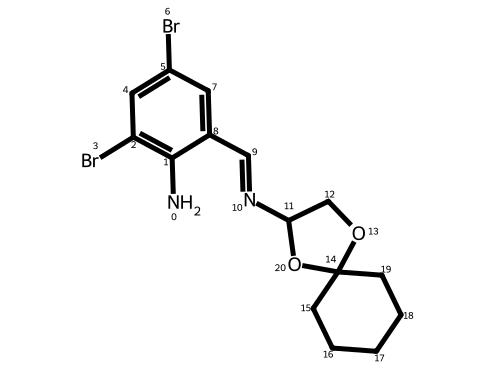 Nc1c(Br)cc(Br)cc1C=NC1COC2(CCCCC2)O1